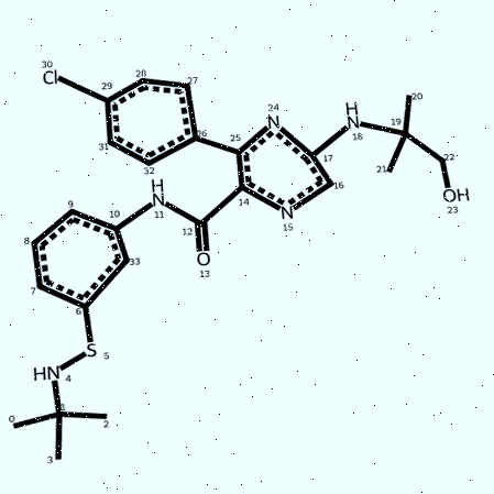 CC(C)(C)NSc1cccc(NC(=O)c2ncc(NC(C)(C)CO)nc2-c2ccc(Cl)cc2)c1